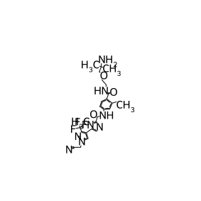 CCc1cc(NC(=O)c2ncc(-c3cn(CC#N)nc3C(F)(F)F)n2C)ccc1C(=O)NCCOCC(C)(C)N